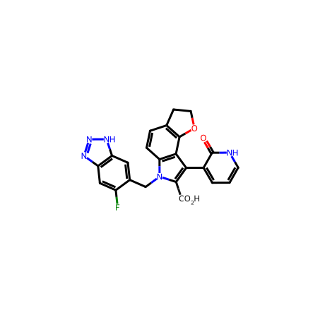 O=C(O)c1c(-c2ccc[nH]c2=O)c2c3c(ccc2n1Cc1cc2[nH]nnc2cc1F)CCO3